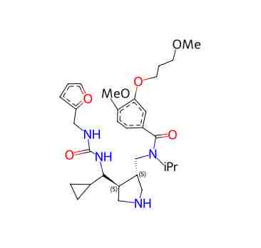 COCCCOc1cc(C(=O)N(C[C@@H]2CNC[C@H]2C(NC(=O)NCc2ccco2)C2CC2)C(C)C)ccc1OC